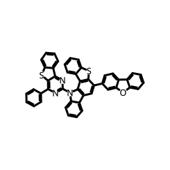 c1ccc(-c2nc(-n3c4ccccc4c4cc(-c5ccc6c(c5)oc5ccccc56)c5sc6ccccc6c5c43)nc3c2sc2ccccc23)cc1